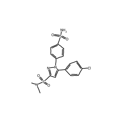 CN(C)S(=O)(=O)c1cc(-c2ccc(Cl)cc2)n(-c2ccc(S(N)(=O)=O)cc2)n1